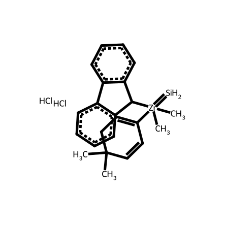 CC1(C)C=C[C]([Zr]([CH3])([CH3])(=[SiH2])[CH]2c3ccccc3-c3ccccc32)=CC1.Cl.Cl